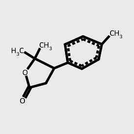 Cc1ccc(C2CC(=O)OC2(C)C)cc1